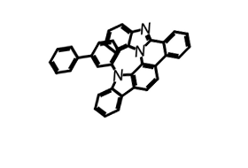 c1ccc(-c2cccc(-n3c4ccccc4c4ccc5c6ccccc6c6nc7ccccc7n6c5c43)c2)cc1